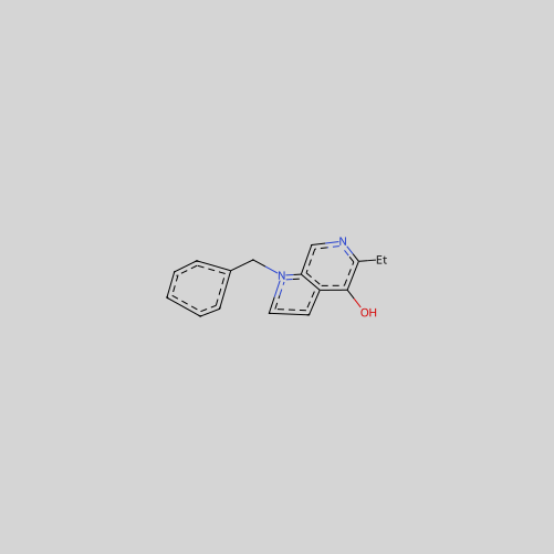 [CH2]Cc1ncc2c(ccn2Cc2ccccc2)c1O